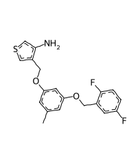 Cc1cc(OCc2cscc2N)cc(OCc2cc(F)ccc2F)c1